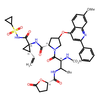 C=C[C@@H]1C[C@]1(NC(=O)[C@@H]1CC(Oc2cc(-c3ccccc3)nc3cc(OC)ccc23)CN1C(=O)[C@@H](NC(=O)O)C(NC(=O)[C@@H]1CCC(=O)O1)C(C)(C)C)C(=O)NS(=O)(=O)C1CC1